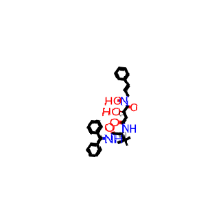 CC(C)(C)[C@H](NC(=O)C[C@H](O)C(=O)N(O)CC=Cc1ccccc1)C(=O)NC(c1ccccc1)c1ccccc1